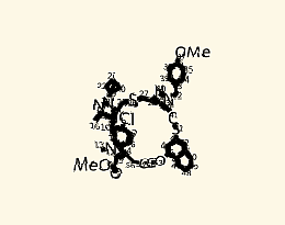 COC(=O)c1c2c3ccc(Cl)c(c3n1C)-c1c(C)nn(C34CC(C3)C4)c1CSCc1cc(n(Cc3ccc(OC)cc3)n1)CSc1cc(c3ccccc3c1)OCCC2